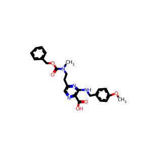 COc1ccc(CNc2nc(CCN(C)C(=O)OCc3ccccc3)cnc2C(=O)O)cc1